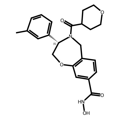 Cc1cccc([C@H]2COc3cc(C(=O)NO)ccc3CN2C(=O)C2CCOCC2)c1